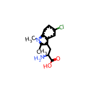 Cc1c(CC(N)C(=O)O)c2cc(Cl)ccc2n1C